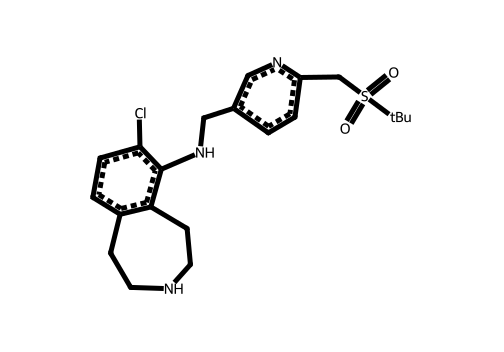 CC(C)(C)S(=O)(=O)Cc1ccc(CNc2c(Cl)ccc3c2CCNCC3)cn1